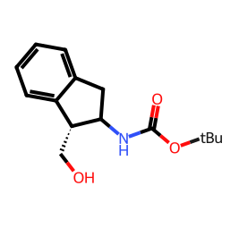 CC(C)(C)OC(=O)NC1Cc2ccccc2[C@H]1CO